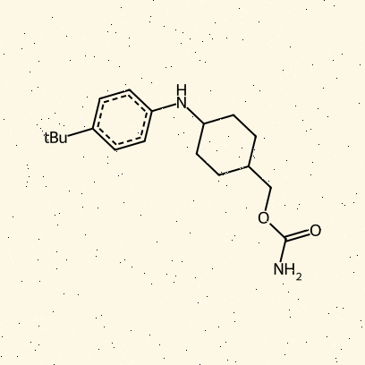 CC(C)(C)c1ccc(NC2CCC(COC(N)=O)CC2)cc1